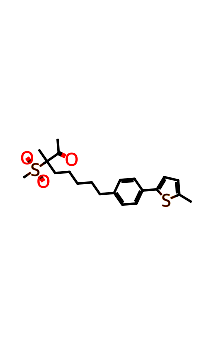 CC(=O)C(C)(CCCCCc1ccc(-c2ccc(C)s2)cc1)S(C)(=O)=O